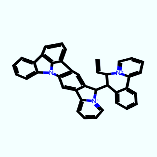 C=CC1C(C2c3cc4c5cccc6c7ccccc7n(c4cc3-c3cccc[n+]32)c65)c2ccccc2-c2cccc[n+]21